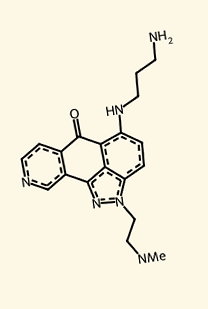 CNCCn1nc2c3c(c(NCCCN)ccc31)C(=O)c1ccncc1-2